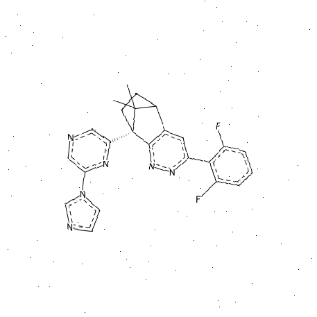 CC1(C)C2CC[C@]1(c1cncc(-n3ccnc3)n1)c1nnc(-c3c(F)cccc3F)cc12